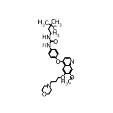 COc1cc2nccc(Oc3ccc(NC(=O)NCCC(C)(C)C)cc3)c2cc1OCCCN1CCOCC1